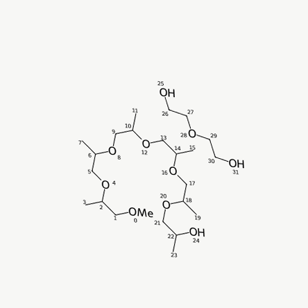 COCC(C)OCC(C)OCC(C)OCC(C)OCC(C)OCC(C)O.OCCOCCO